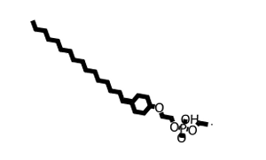 [CH2]COP(=O)(O)OCCOC1CCC(=CCCCCCCCCCCCCCCC)CC1